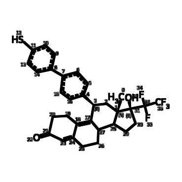 C[C@]12C[C@H](c3ccc(-c4ccc(S)cc4)cc3)C3=C4CCC(=O)C=C4CCC3C1CC[C@@]2(O)C(F)(F)C(F)(F)F